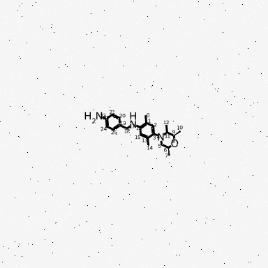 Cc1cc(N2C[C@H](C)O[C@H](C)C2C)c(C)cc1NCc1ccc(N)cc1